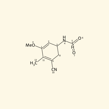 COC1=CC(N[SH](=O)=O)CC(C#N)=C1C